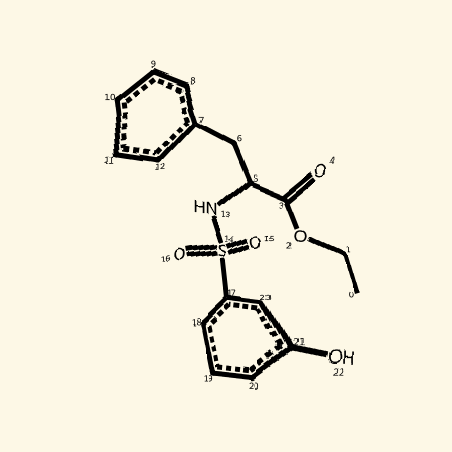 CCOC(=O)C(Cc1ccccc1)NS(=O)(=O)c1cccc(O)c1